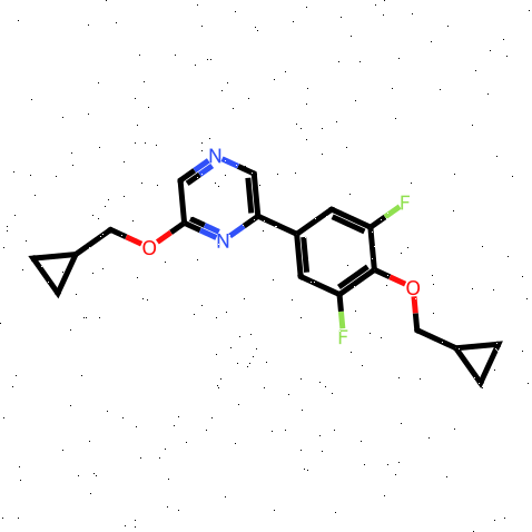 Fc1cc(-c2cncc(OCC3CC3)n2)cc(F)c1OCC1CC1